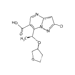 C[C@H](OC1CCOC1)c1c(C(=O)O)cnc2cc(Cl)nn12